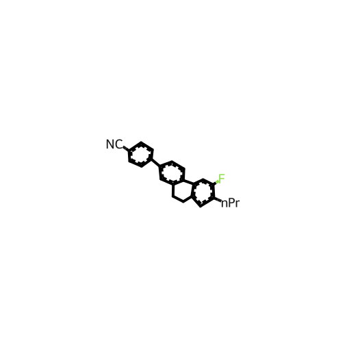 CCCc1cc2c(cc1F)-c1ccc(-c3ccc(C#N)cc3)cc1CC2